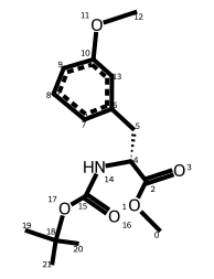 COC(=O)[C@@H](Cc1cccc(OC)c1)NC(=O)OC(C)(C)C